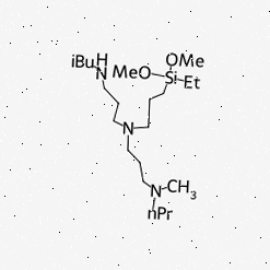 CCCN(C)CCCN(CCCNC(C)CC)CCC[Si](CC)(OC)OC